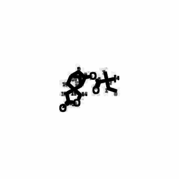 CCC(C)(I)C(=O)OC1CC2CC1C1(COC(=O)C1)C2